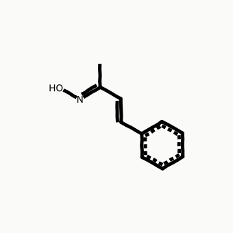 CC(C=Cc1ccccc1)=NO